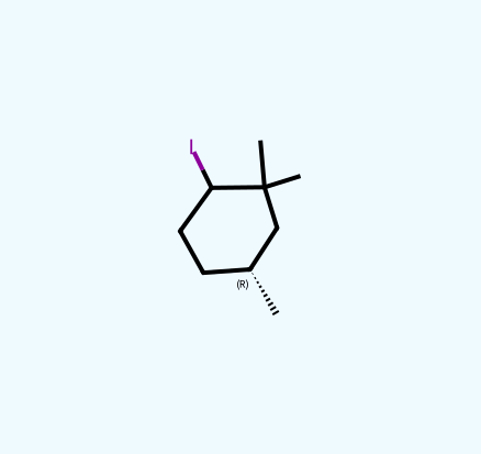 C[C@@H]1CCC(I)C(C)(C)C1